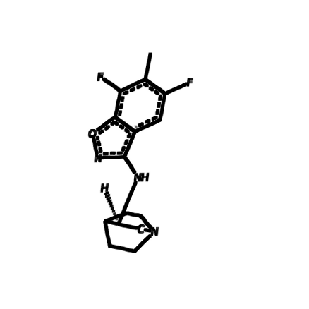 Cc1c(F)cc2c(N[C@H]3CN4CCC3CC4)noc2c1F